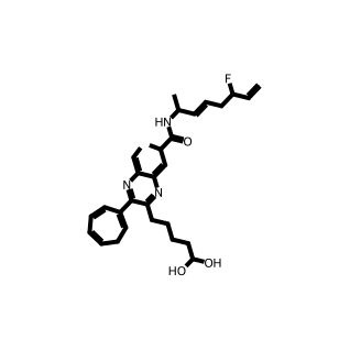 C=CC(F)C/C=C/C(C)NC(=O)C(C)/C=c1/nc(CCCCC(O)O)c(C2=CCC=CC=C2)n/c1=C/C